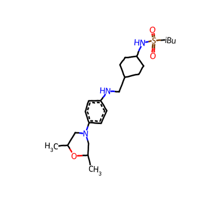 CCC(C)S(=O)(=O)NC1CCC(CNc2ccc(N3CC(C)OC(C)C3)cc2)CC1